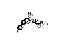 CCC(C)(C)CC(=O)CNC(=O)[C](C)Cc1ccc(-c2ccc(F)cn2)cc1